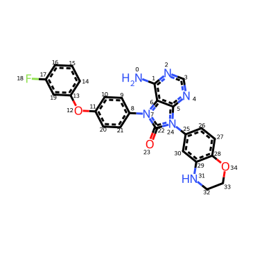 Nc1ncnc2c1n(-c1ccc(Oc3cccc(F)c3)cc1)c(=O)n2-c1ccc2c(c1)NCCO2